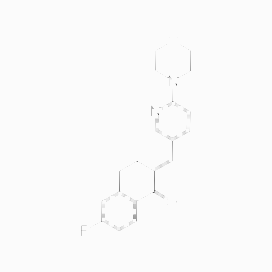 O=C1/C(=C/c2ccc(N3CCOCC3)nc2)CCc2cc(F)ccc21